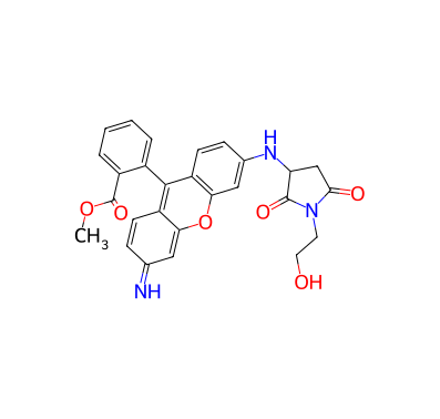 COC(=O)c1ccccc1-c1c2ccc(=N)cc-2oc2cc(NC3CC(=O)N(CCO)C3=O)ccc12